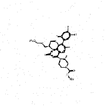 COCOC[C@H]1CSc2c(-c3cc(Cl)c(F)cc3F)c(C)cc3c(N4CCN(C(=O)OC(C)(C)C)C[C@@H]4C)nc(=O)n1c23